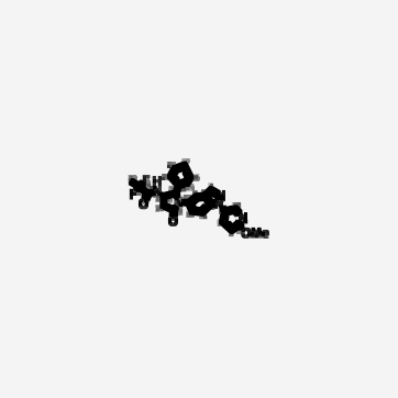 COc1ccc(-n2ncc3cc(N4C(=O)C[C@@H](NC(=O)C(C)(F)F)C4c4ccccc4)ccc32)cn1